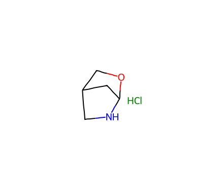 C1NC2CC1CO2.Cl